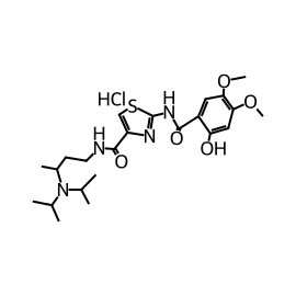 COc1cc(O)c(C(=O)Nc2nc(C(=O)NCCC(C)N(C(C)C)C(C)C)cs2)cc1OC.Cl